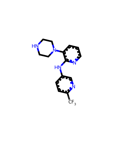 FC(F)(F)c1ccc(Nc2ncccc2N2CCNCC2)cn1